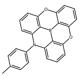 Cc1ccc(N2c3cccc4c3B3c5c(cccc5Oc5cccc2c53)O4)cc1